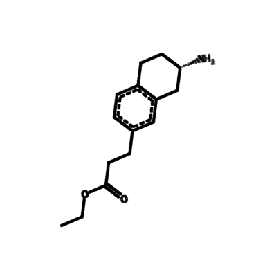 CCOC(=O)CCc1ccc2c(c1)C[C@@H](N)CC2